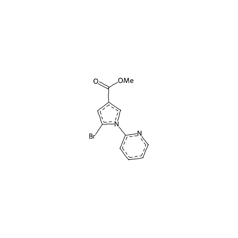 COC(=O)c1cc(Br)n(-c2ccccn2)c1